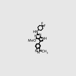 COc1nc(NC2CCC(F)(F)CC2)nc2[nH]cc(-c3ccc4nnn(C)c4c3)c12